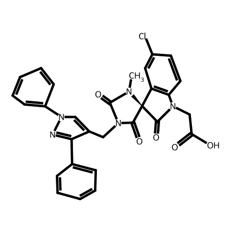 CN1C(=O)N(Cc2cn(-c3ccccc3)nc2-c2ccccc2)C(=O)[C@]12C(=O)N(CC(=O)O)c1ccc(Cl)cc12